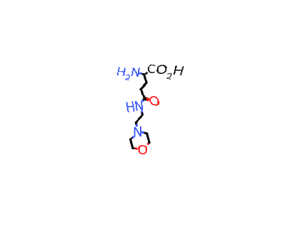 NC(CCC(=O)NCCN1CCOCC1)C(=O)O